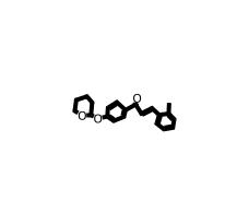 Cc1ccccc1C=CC(=O)c1ccc(OC2CCCCO2)cc1